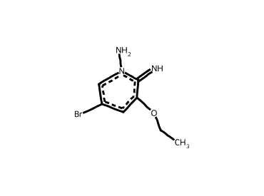 CCOc1cc(Br)cn(N)c1=N